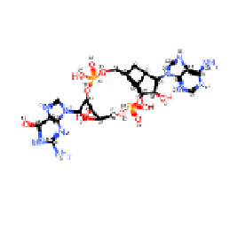 Nc1nc2c(ncn2C2OC3COP(=O)(O)OC45C(O)C(n6cnc7c(N)ncnc76)C6CC4(COP(=O)(O)OC2C3O)C65)c(=O)[nH]1